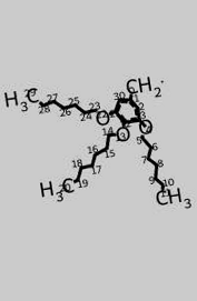 [CH2]c1cc(OCCCCCCC)c(OCCCCCCC)c(OCCCCCCC)c1